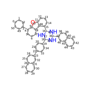 c1ccc(-c2cccc3c2oc2cccc(C4NC(c5ccc(-c6ccc7ccccc7c6)cc5)NC(c5ccc6ccccc6c5)N4)c23)cc1